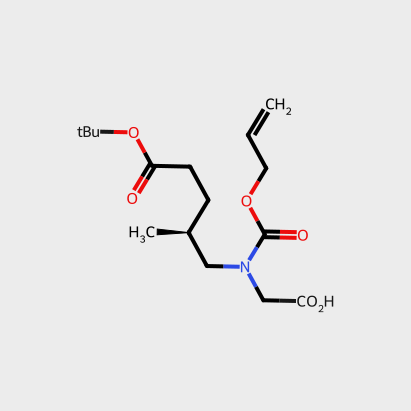 C=CCOC(=O)N(CC(=O)O)C[C@@H](C)CCC(=O)OC(C)(C)C